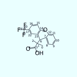 CC(C)(C(=O)O)C1c2ccccc2Oc2ccc(C(F)(F)F)cc21